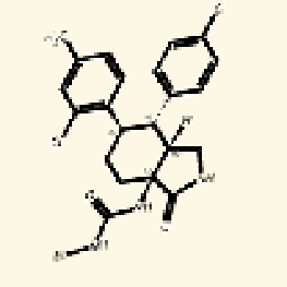 CCNC(=O)N[C@@]12CC[C@@H](c3ccc(C)cc3Cl)[C@H](c3ccc(Cl)cc3)[C@@H]1CNC2=O